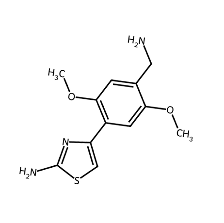 COc1cc(-c2csc(N)n2)c(OC)cc1CN